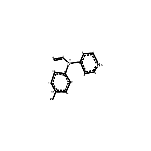 C=CN(c1ccncc1)c1ccc(C)cc1